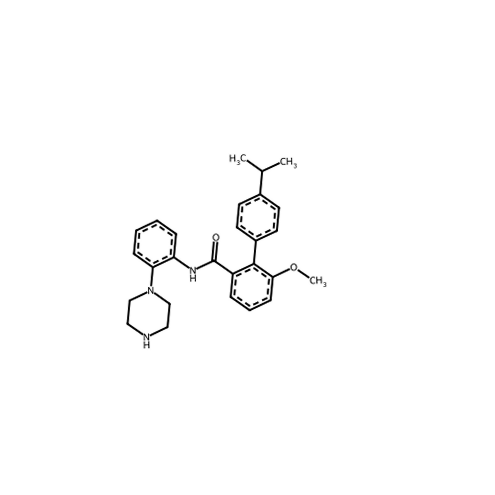 COc1cccc(C(=O)Nc2ccccc2N2CCNCC2)c1-c1ccc(C(C)C)cc1